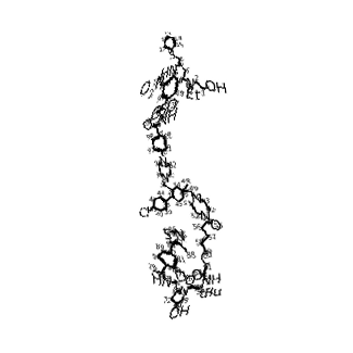 CCN(CCO)CC[C@H](CSc1ccccc1)Nc1ccc(S(=O)(=O)NC(=O)c2ccc(N3CCN(CC4=C(c5ccc(Cl)cc5)CCC(C)(CN5CCN(C(=O)CCCCCCC(=O)N[C@H](C(=O)N6C[C@H](O)C[C@H]6C(=O)N[C@@H](C)c6ccc(-c7scnc7C)cc6)C(C)(C)C)CC5)C4)CC3)cc2)cc1[N+](=O)[O-]